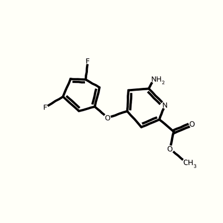 COC(=O)c1cc(Oc2cc(F)cc(F)c2)cc(N)n1